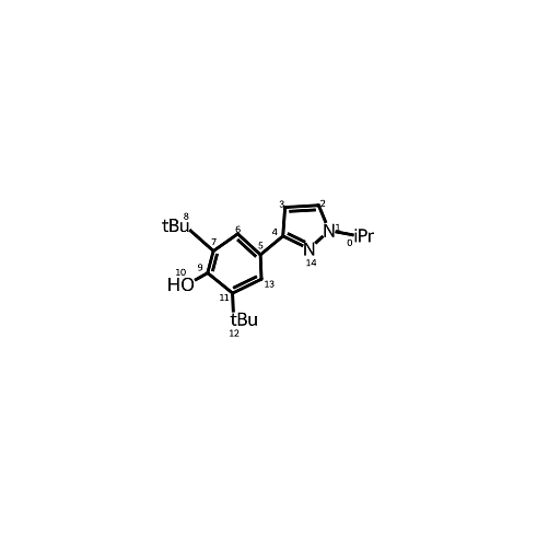 CC(C)n1ccc(-c2cc(C(C)(C)C)c(O)c(C(C)(C)C)c2)n1